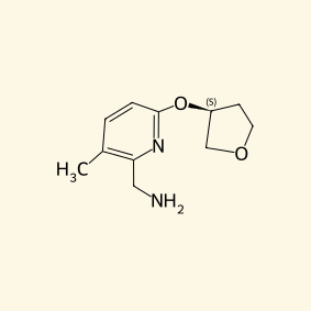 Cc1ccc(O[C@H]2CCOC2)nc1CN